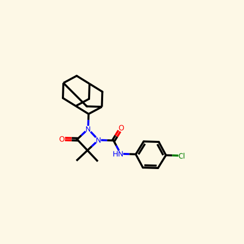 CC1(C)C(=O)N(C2C3CC4CC(C3)CC2C4)N1C(=O)Nc1ccc(Cl)cc1